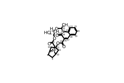 CCOC(=O)CN1C2CCC1CC(OC(=O)c1cc3ccccc3n(C(C)C)c1=O)C2.Cl